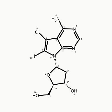 Nc1ncnc2c1c(Cl)c(I)n2[C@@H]1C[C@H](O)[C@@H](CO)O1